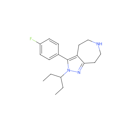 CCC(CC)n1nc2c(c1-c1ccc(F)cc1)CCNCC2